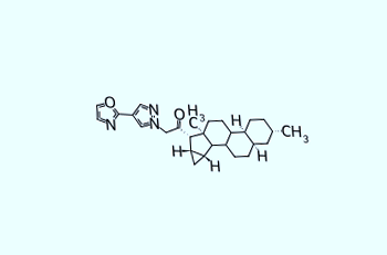 C[C@H]1CC[C@@H]2C3CC[C@@]4(C)C(C3CC[C@@H]2C1)[C@@H]1C[C@@H]1[C@@H]4C(=O)Cn1cc(-c2ncco2)cn1